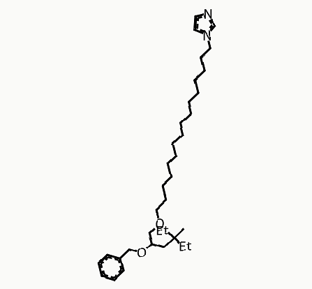 CCC(C)(CC)CC(COCCCCCCCCCCCCCCCCn1ccnc1)OCc1ccccc1